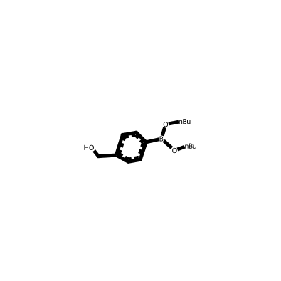 CCCCOB(OCCCC)c1ccc(CO)cc1